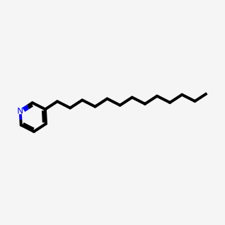 CCCCCCCCCCCCCc1cccnc1